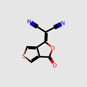 N#CC(C#N)=C1OC(=O)c2cscc21